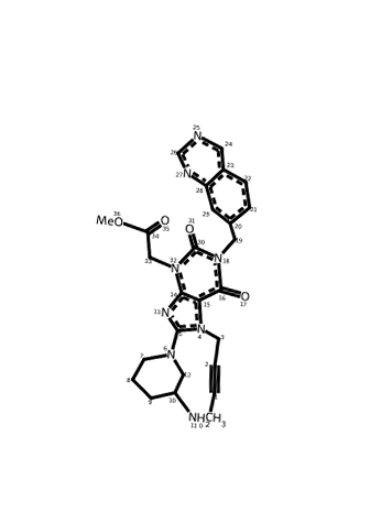 CC#CCn1c(N2CCCC(N)C2)nc2c1c(=O)n(Cc1ccc3cncnc3c1)c(=O)n2CC(=O)OC